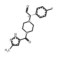 Cc1cc(C(=O)N2CCN([C@H](C=O)c3ccc(F)cc3)CC2)[nH]n1